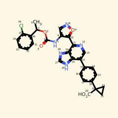 CC(OC(=O)Nc1cnoc1-c1ncc(-c2ccc(C3(C(=O)O)CC3)cc2)c2[nH]cnc12)c1ccccc1Cl